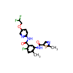 Cc1ncc(C(=O)Nc2cc(C(=O)Nc3ccc(OCC(F)F)cn3)c(F)cc2C)s1